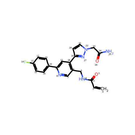 C=CC(=O)NCc1cnc(-c2ccc(F)cc2)cc1-c1ccn(CC(N)=O)n1